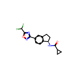 O=C(N[C@@H]1CCc2cc(-c3noc(C(F)F)n3)ccc21)C1CC1